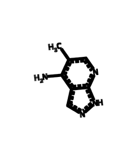 Cc1cnc2[nH]ncc2c1N